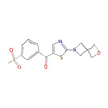 CS(=O)(=O)c1cccc(C(=O)c2cnc(N3CC4(COC4)C3)s2)c1